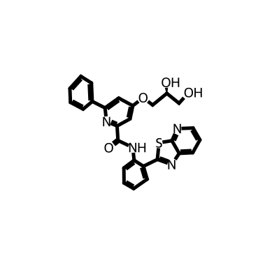 O=C(Nc1ccccc1-c1nc2cccnc2s1)c1cc(OC[C@@H](O)CO)cc(-c2ccccc2)n1